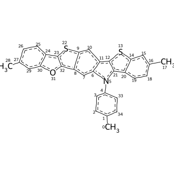 Cc1ccc(-n2c3cc4c(cc3c3sc5cc(C)ccc5c32)sc2c3ccc(C)cc3oc42)cc1